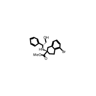 COC(=O)[C@@]1(N[C@@H](CO)c2ccccc2)CCc2c(Br)cccc2C1